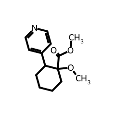 COC(=O)C1(OC)CCCCC1c1ccncc1